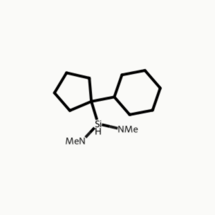 CN[SiH](NC)C1(C2CCCCC2)CCCC1